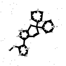 COc1nsnc1-c1n[nH]c2c1C=CC(c1ccncc1)(c1ccncc1)C2